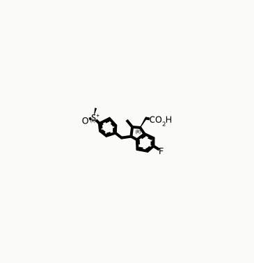 CC1C(Cc2ccc([S@+](C)[O-])cc2)c2ccc(F)cc2[C@@H]1CC(=O)O